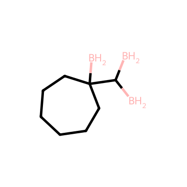 BC(B)C1(B)CCCCCC1